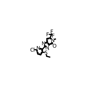 CCSc1ccc(Cl)nc1-c1nc2cc(C(F)(F)F)n(C)c(=O)c2n1C